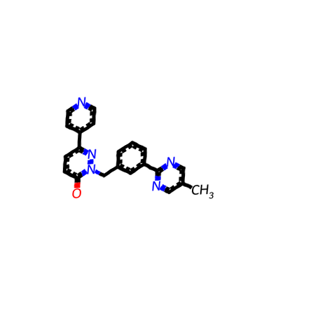 Cc1cnc(-c2cccc(Cn3nc(-c4ccncc4)ccc3=O)c2)nc1